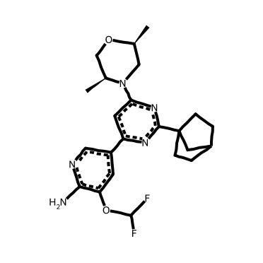 C[C@H]1CN(c2cc(-c3cnc(N)c(OC(F)F)c3)nc(C34CCC(CC3)C4)n2)[C@@H](C)CO1